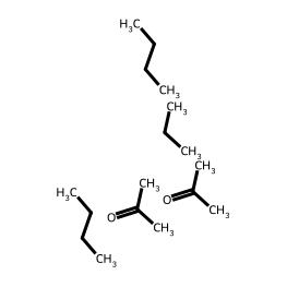 CC(C)=O.CC(C)=O.CCC.CCCC.CCCC